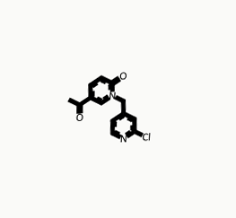 CC(=O)c1ccc(=O)n(Cc2ccnc(Cl)c2)c1